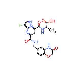 C[C@@H](NC(=O)c1cc(C(=O)NCc2ccc3c(c2)NC(=O)CO3)nc2c(F)cnn12)C(=O)O